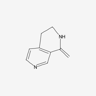 C=C1NCCc2ccncc21